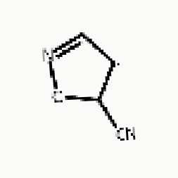 N#CC1[C]C=NO1